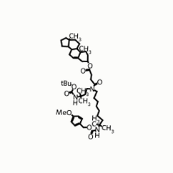 COc1ccc(COC(=O)NC(C)(C)CCCCCCCN(CCC(C)(C)NC(=O)OC(C)(C)C)C(=O)CCC(=O)OC2CCC3(C)C(=CCC4C5CCCC5(C)CCC43)C2)cc1